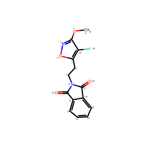 COc1noc(CCN2C(=O)c3ccccc3C2=O)c1F